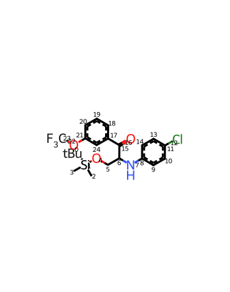 CC(C)(C)[Si](C)(C)OCC(Nc1ccc(Cl)cc1)C(=O)c1cccc(OC(F)(F)F)c1